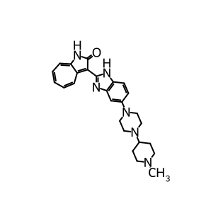 CN1CCC(N2CCN(c3ccc4[nH]c(-c5c6cccccc-6[nH]c5=O)nc4c3)CC2)CC1